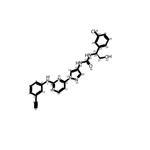 C#Cc1cccc(Nc2nccc(-n3cc(NC(=O)N[C@H](CO)c4cccc(Cl)c4)cn3)n2)c1